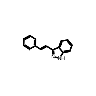 [c]1ccccc1/C=C/c1n[nH]c2ccccc12